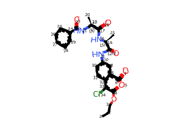 CCCOc1oc(=O)c2cc(NC(=O)[C@H](C)NC(=O)[C@H](C)NC(=O)c3ccccc3)ccc2c1Cl